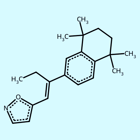 CC/C(=C\c1ccno1)c1ccc2c(c1)C(C)(C)CCC2(C)C